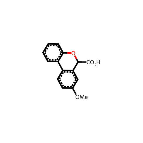 COc1ccc2c(c1)C(C(=O)O)Oc1ccccc1-2